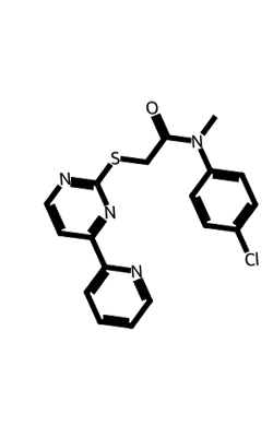 CN(C(=O)CSc1nccc(-c2ccccn2)n1)c1ccc(Cl)cc1